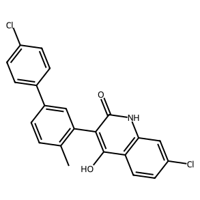 Cc1ccc(-c2ccc(Cl)cc2)cc1-c1c(O)c2ccc(Cl)cc2[nH]c1=O